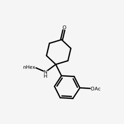 CCCCCCNC1(c2cccc(OC(C)=O)c2)CCC(=O)CC1